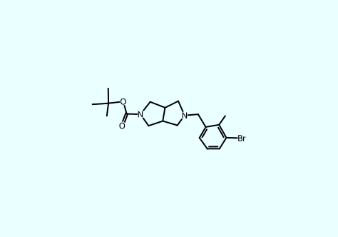 Cc1c(Br)cccc1CN1CC2CN(C(=O)OC(C)(C)C)CC2C1